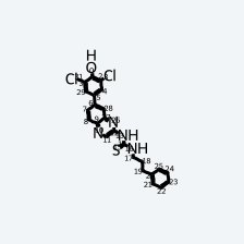 Oc1c(Cl)cc(-c2ccc3ncc(NC(=S)NCCCc4ccccc4)nc3c2)cc1Cl